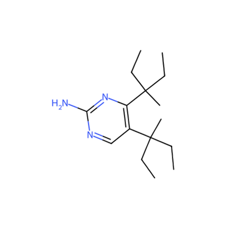 CCC(C)(CC)c1cnc(N)nc1C(C)(CC)CC